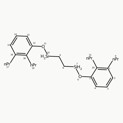 CCCc1cccc(O[SiH2]CC[SiH2]Oc2cccc(CCC)c2CCC)c1CCC